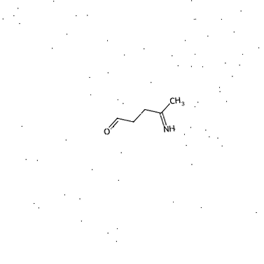 CC(=N)CCC=O